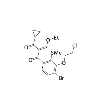 CCOC=C(C(=O)c1ccc(Br)c(OCCCl)c1SC)C(=O)C1CC1